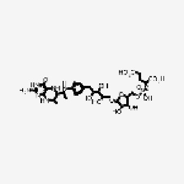 CC(Nc1ccc(CC(O)C(O)C(O)COC2OC(COP(=O)(O)OC(CCC(=O)O)C(=O)O)C(O)C2O)cc1)C1Nc2c(nc(N)[nH]c2=O)NC1C